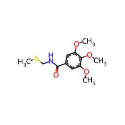 COc1cc(C(=O)NCSC)cc(OC)c1OC